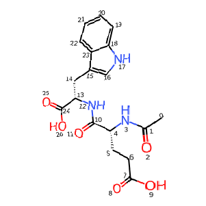 CC(=O)N[C@H](CCC(=O)O)C(=O)N[C@@H](Cc1c[nH]c2ccccc12)C(=O)O